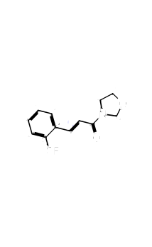 O=C(/C=C/c1ccccc1C(F)(F)F)N1CCOC1